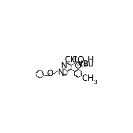 Cc1ccc(-c2c(C(OC(C)(C)C)C(=O)O)c(C)nc3c2ccn3CCOCc2ccccc2)cc1